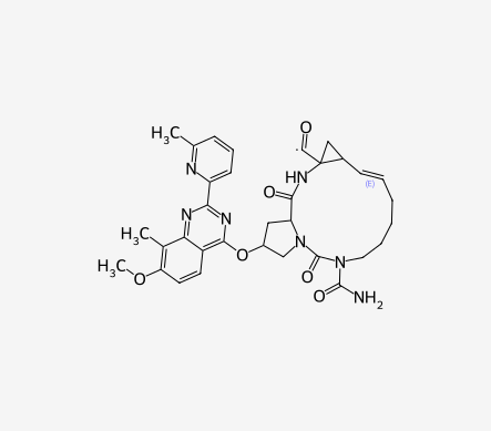 COc1ccc2c(OC3CC4C(=O)NC5([C]=O)CC5/C=C/CCCCN(C(N)=O)C(=O)N4C3)nc(-c3cccc(C)n3)nc2c1C